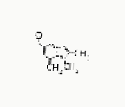 C=c1cc(C=O)cc2c1=C(C)C(C)=C2